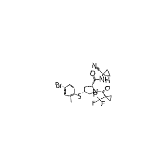 Cc1cc(Br)ccc1S[C@@H]1C[C@@H](C(=O)NC2(C#N)CC2)N(C(=O)C2(C(F)(F)F)CC2)C1